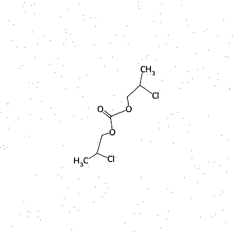 CC(Cl)COC(=O)OCC(C)Cl